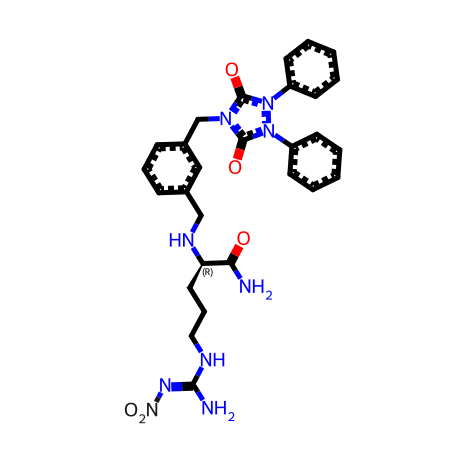 NC(=O)[C@@H](CCCNC(N)=N[N+](=O)[O-])NCc1cccc(Cn2c(=O)n(-c3ccccc3)n(-c3ccccc3)c2=O)c1